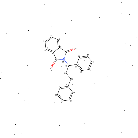 O=C1c2ccccc2C(=O)N1C(CCc1ccccc1)c1ccccc1